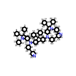 c1ccc(-c2c(-c3ccccc3)n(-c3ccccc3)c3cc(N(c4cccc(-c5ccncc5)c4)c4ccc5c(c4)C(c4ccccc4)(c4ccccc4)c4cc(N(c6cccc(-c7ccncc7)c6)c6ccc7c(-c8ccccc8)c(-c8ccccc8)n(-c8ccccc8)c7c6)ccc4-5)ccc23)cc1